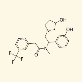 CN(C(=O)Cc1cccc(C(F)(F)F)c1)C(CN1CCC(O)C1)c1cccc(O)c1